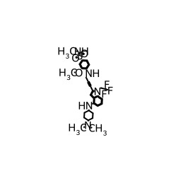 CNS(=O)(=O)c1ccc(NCC#Cc2cc3c(NC4CCC(N(C)C)CC4)cccc3n2CC(F)(F)F)c(OC)c1